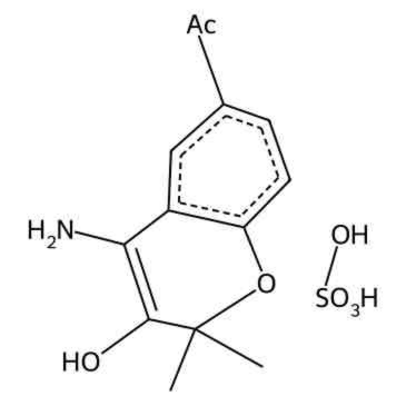 CC(=O)c1ccc2c(c1)C(N)=C(O)C(C)(C)O2.O=S(=O)(O)O